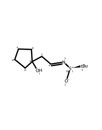 CC(C)(C)[S@@+]([O-])N=CCC1(O)CCCC1